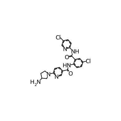 NC1CCN(c2ccc(C(=O)Nc3ccc(Cl)cc3C(=O)Nc3ccc(Cl)cn3)cn2)C1